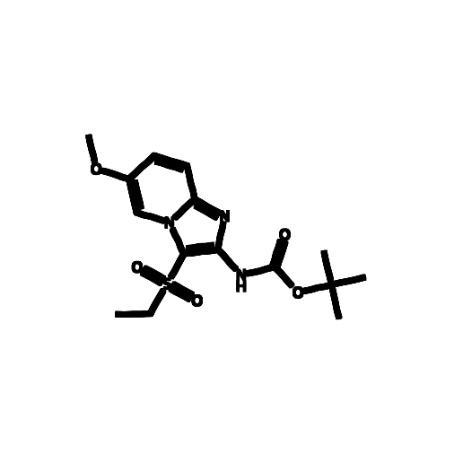 CCS(=O)(=O)c1c(NC(=O)OC(C)(C)C)nc2ccc(OC)cn12